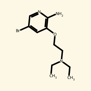 CCN(CC)CCOc1cc(Br)cnc1N